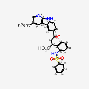 CCCCCc1cnc2[nH]c3ccc(C(=O)CC(C(=O)O)c4ccccc4NS(=O)(=O)c4ccccc4)cc3c2c1